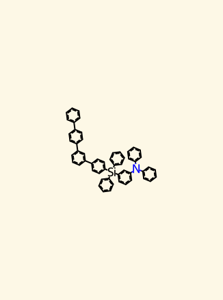 c1ccc(-c2ccc(-c3cccc(-c4ccc([Si](c5ccccc5)(c5ccccc5)c5cccc(N(c6ccccc6)c6ccccc6)c5)cc4)c3)cc2)cc1